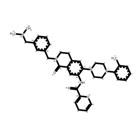 Cc1ccccc1N1CCN(c2cc3c(cc2NC(=O)C2=CCC=CO2)C(=O)N(Cc2cccc(CN(C)C)c2)CC3)CC1